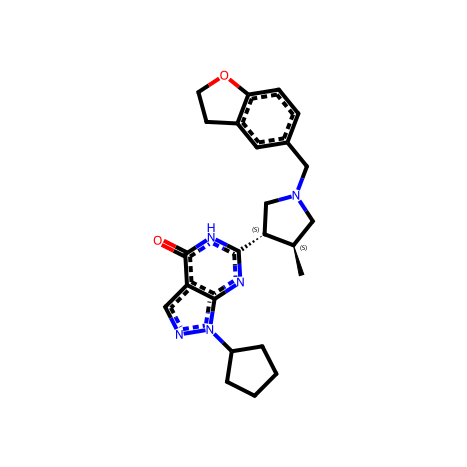 C[C@@H]1CN(Cc2ccc3c(c2)CCO3)C[C@H]1c1nc2c(cnn2C2CCCC2)c(=O)[nH]1